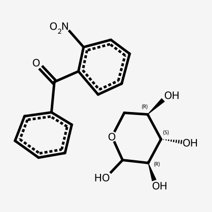 O=C(c1ccccc1)c1ccccc1[N+](=O)[O-].OC1OC[C@@H](O)[C@H](O)[C@H]1O